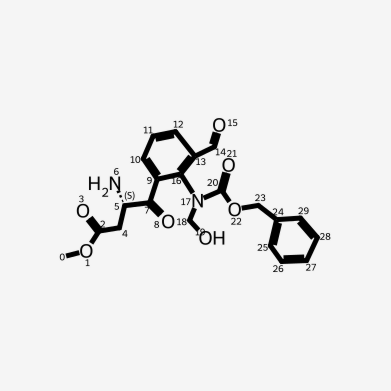 COC(=O)C[C@H](N)C(=O)c1cccc(C=O)c1N(CO)C(=O)OCc1ccccc1